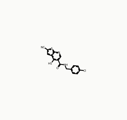 N#Cc1cc2c(S)c(C(=O)NCc3ccc(Cl)cc3)cnc2s1